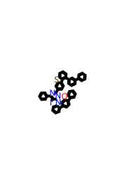 Ic1c(-c2ccccc2)nc(-c2ccc3c(c2)sc2cccc(-c4cccc(-c5ccccc5)c4)c23)nc1-n1c2ccccc2c2ccc3c4ccccc4oc3c21